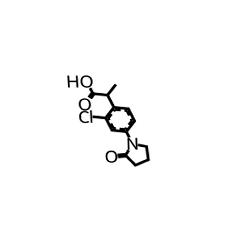 CC(C(=O)O)c1ccc(N2CCCC2=O)cc1Cl